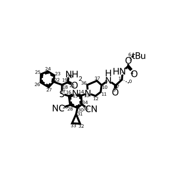 C[C@@H](NC(=O)OC(C)(C)C)C(=O)NC1CCN(c2nc(SC(C(N)=O)c3ccccc3)c(C#N)c(C3CC3)c2C#N)CC1